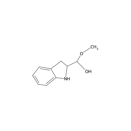 COC(O)C1Cc2ccccc2N1